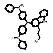 CCCCc1cc(C(c2ccc(N(C)c3ccccc3)cc2)c2ccc(N(C)c3ccccc3)cc2)cc2c1[nH]c1ccccc12